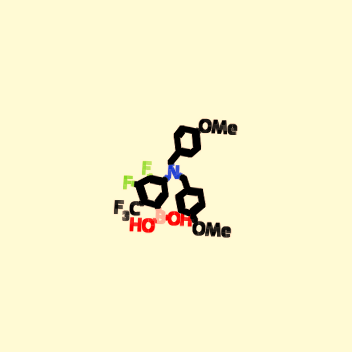 COc1ccc(CN(Cc2ccc(OC)cc2)c2cc(B(O)O)c(C(F)(F)F)c(F)c2F)cc1